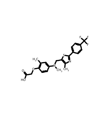 Cc1cc(N(C)Cc2sc(-c3ccc(C(F)(F)F)cc3)nc2C)ccc1OCC(=O)O